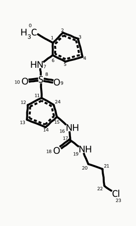 Cc1ccccc1NS(=O)(=O)c1cccc(NC(=O)NCCCCl)c1